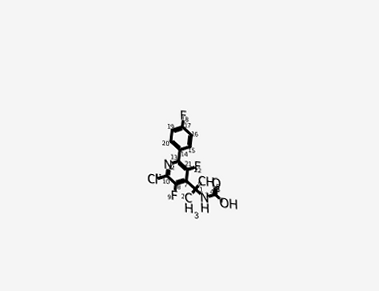 CC(C)(NC(=O)O)c1c(F)c(Cl)nc(-c2ccc(F)cc2)c1F